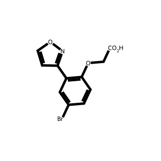 O=C(O)COc1ccc(Br)cc1-c1ccon1